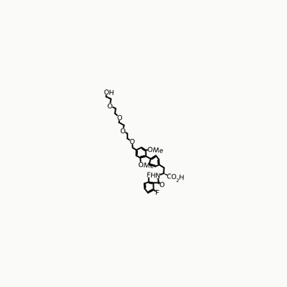 COc1cc(COCCOCCOCCOCCO)cc(OC)c1-c1ccc(C[C@H](NC(=O)c2c(F)cccc2F)C(=O)O)cc1